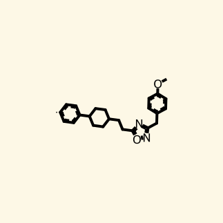 COc1ccc(Cc2noc(CCC3CCC(c4cc[c]cc4)CC3)n2)cc1